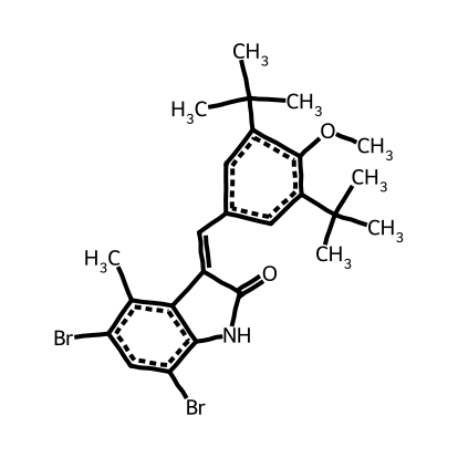 COc1c(C(C)(C)C)cc(C=C2C(=O)Nc3c(Br)cc(Br)c(C)c32)cc1C(C)(C)C